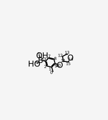 Cc1cc(B(O)O)ccc1OC1CCOC1